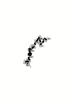 Nc1nc2ncc(CNc3ccc(C(=O)N[C@@H](CCC(=O)NCCNC(=O)CCC(C=O)N4CCN(CC(=O)O)CCN(CC(=O)O)CC4)C(=O)O)cc3)nc2c(=O)[nH]1